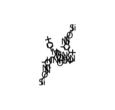 Cc1cc(CC(NC(=O)OC(=O)NC(c2ncc[nH]2)C(c2cc(C)c3nn(COCC[Si](C)(C)C)cc3c2)C(C)(C)C)c2nccn2Cc2ccc(C(C)(C)C)cc2)cc2cn(COCC[Si](C)(C)C)nc12